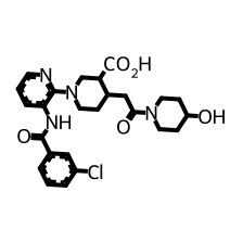 O=C(Nc1cccnc1N1CCC(CC(=O)N2CCC(O)CC2)C(C(=O)O)C1)c1cccc(Cl)c1